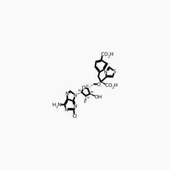 Nc1nc(Cl)nc2c1ncn2[C@@H]1O[C@H](CO[C@@](Cc2ccc(C(=O)O)cc2)(C(=O)O)c2cscn2)[C@@H](O)[C@@H]1F